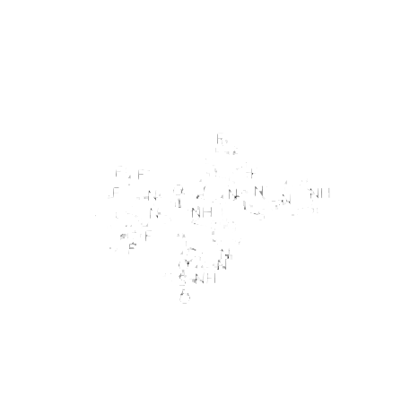 C[C@@H]1c2c(C(F)(F)F)nn(CC(=O)N[C@@H](Cc3cc(F)cc(F)c3)c3nc4nc(N5CCNCC5)sc4cc3-c3cccc4c(NS(C)(=O)=O)nn(C)c34)c2C(F)(F)[C@@H]1C